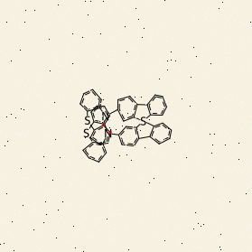 c1ccc2c(c1)Sc1ccccc1N2c1ccc2c(c1)S1(c3ccccc3-2)c2ccccc2-c2ccc(N3c4ccccc4Sc4ccccc43)cc21